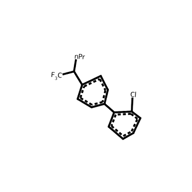 CCCC(c1ccc(-c2ccccc2Cl)cc1)C(F)(F)F